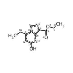 CCOC(=O)c1ncn2c(CC)cc(O)nc12